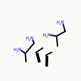 C=CC.C=CC.CC(N)CN.CC(N)CN